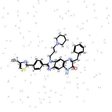 CC(C)(C)c1csc(-c2ccc(-c3nc4cc5[nH]c(=O)c(Cc6ccccc6)nc5cc4n3CCCN3CCCCC3)cc2)n1